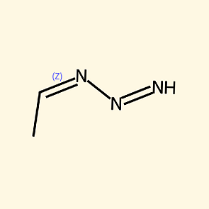 C/C=N\N=N